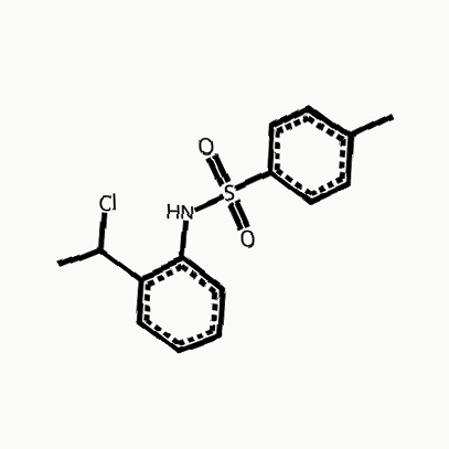 Cc1ccc(S(=O)(=O)Nc2ccccc2C(C)Cl)cc1